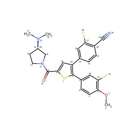 COc1ccc(-c2sc(C(=O)N3CC[C@@H](N(C)C)C3)cc2-c2ccc(C#N)c(F)c2)cc1F